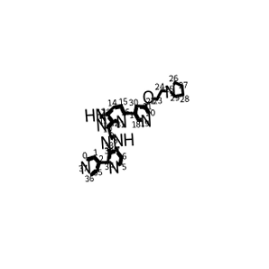 c1cc(-c2nccc3[nH]c(-c4n[nH]c5ccc(-c6cncc(OCCN7CCCC7)c6)nc45)nc23)ccn1